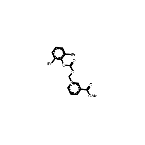 COC(=O)c1ccc[n+](COC(=O)Oc2c(C(C)C)cccc2C(C)C)c1